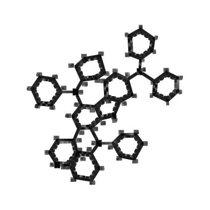 c1ccc(N(c2ccccc2)c2ccc3c(c2)sc2c(N(c4ccccc4)c4ccccc4)c(-c4ccncc4)cc(N(c4ccccc4)c4ccccc4)c23)cc1